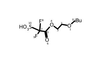 CCC(C)OCCOC(=O)C(F)(F)S(=O)(=O)O